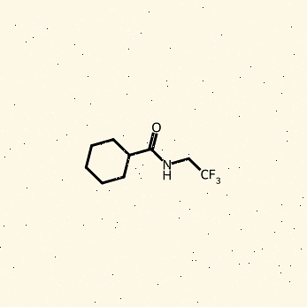 O=C(NCC(F)(F)F)C1CCCCC1